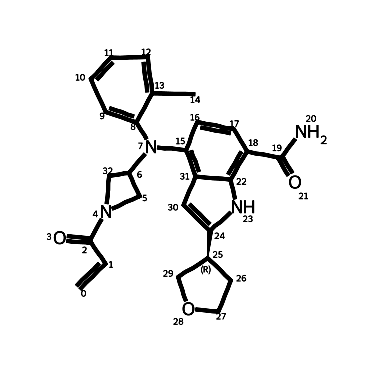 C=CC(=O)N1CC(N(c2ccccc2C)c2ccc(C(N)=O)c3[nH]c([C@H]4CCOC4)cc23)C1